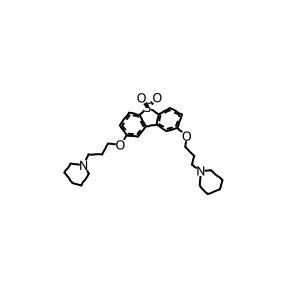 O=S1(=O)c2ccc(OCCCN3CCCCC3)cc2-c2cc(OCCCN3CCCCC3)ccc21